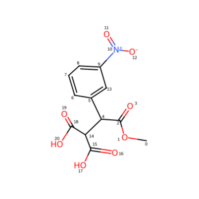 COC(=O)C(c1cccc([N+](=O)[O-])c1)C(C(=O)O)C(=O)O